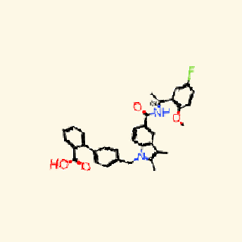 COc1ccc(F)cc1[C@H](C)NC(=O)c1ccc2c(c1)c(C)c(C)n2Cc1ccc(-c2ccccc2C(=O)O)cc1